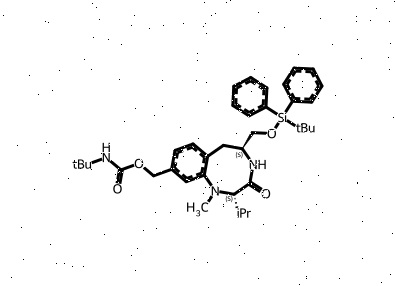 CC(C)[C@H]1C(=O)N[C@H](CO[Si](c2ccccc2)(c2ccccc2)C(C)(C)C)Cc2ccc(COC(=O)NC(C)(C)C)cc2N1C